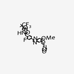 COc1cc2nc(-c3ccc(CC(=O)Nc4cc(C(C)(C)C(F)(F)F)on4)c(F)c3)cnc2cc1OCCN1CCOCC1